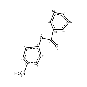 O=C(Oc1ccc(S(=O)(=O)O)cc1)c1ccccc1